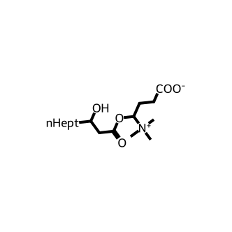 CCCCCCCC(O)CC(=O)OC(CCC(=O)[O-])[N+](C)(C)C